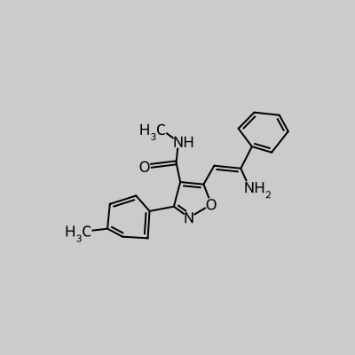 CNC(=O)c1c(-c2ccc(C)cc2)noc1/C=C(\N)c1ccccc1